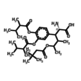 CC(C)C(C)C(=O)Oc1ccc(C(C(C)C(C)OC(=O)CC(C)(C)C)[C@H](N)C(=O)O)cc1OC(=O)C(C)C(C)C